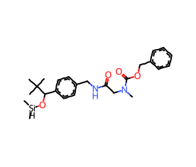 CN(CC(=O)NCc1ccc(C(O[SiH](C)C)C(C)(C)C)cc1)C(=O)OCc1ccccc1